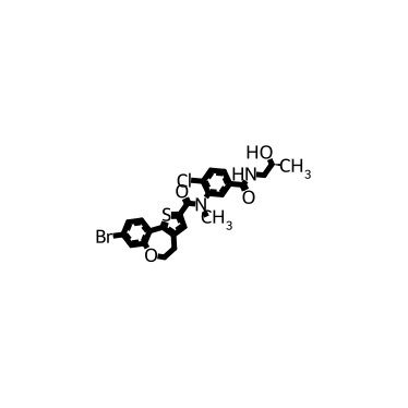 C[C@@H](O)CNC(=O)c1ccc(Cl)c(N(C)C(=O)c2cc3c(s2)-c2ccc(Br)cc2OCC3)c1